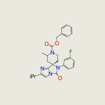 CC(C)c1cn2c(n1)[C@@]1(CCN(C(=O)OCc3ccccc3)C(C)C1)N(c1cccc(F)c1)C2=O